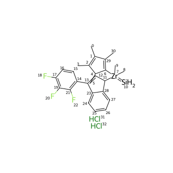 CC1=C(C)C(C)[C]([Zr]([CH3])([CH3])(=[SiH2])[CH]2C=C(c3ccc(F)c(F)c3F)c3ccccc32)=C1C.Cl.Cl